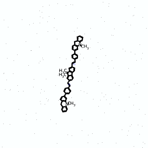 CN1c2ccccc2Cc2ccc(-c3ccc(/C=C/c4ccc5c(c4)C(C)(C)c4cc(/C=C/c6ccc(-c7ccc8c(c7)N(C)c7ccccc7C8)cc6)ccc4-5)cc3)cc21